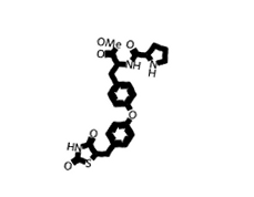 COC(=O)C(Cc1ccc(Oc2ccc(CC3SC(=O)NC3=O)cc2)cc1)NC(=O)C1CCCN1